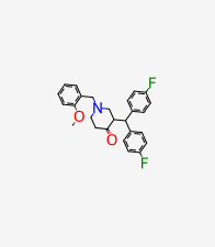 COc1ccccc1CN1CCC(=O)C(C(c2ccc(F)cc2)c2ccc(F)cc2)C1